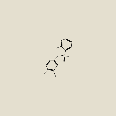 Cc1ccc(OP(=O)(O)c2ccccc2C)cc1C